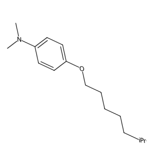 C[C](C)CCCCCOc1ccc(N(C)C)cc1